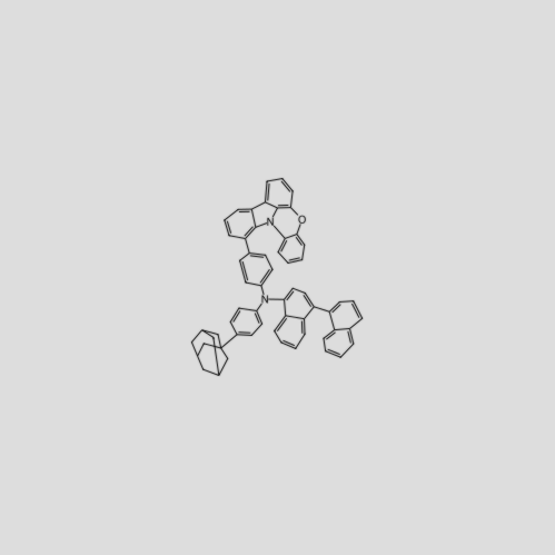 c1ccc2c(c1)Oc1cccc3c4cccc(-c5ccc(N(c6ccc(C78CC9CC(CC(C9)C7)C8)cc6)c6ccc(-c7cccc8ccccc78)c7ccccc67)cc5)c4n-2c13